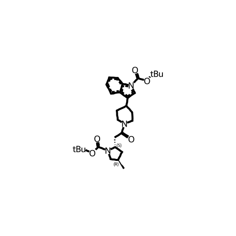 C[C@@H]1C[C@@H](CC(=O)N2CCC(c3cn(C(=O)OC(C)(C)C)c4ccccc34)CC2)N(C(=O)OC(C)(C)C)C1